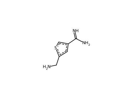 N=C(N)c1csc(CN)c1